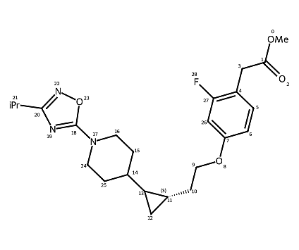 COC(=O)Cc1ccc(OCC[C@@H]2CC2C2CCN(c3nc(C(C)C)no3)CC2)cc1F